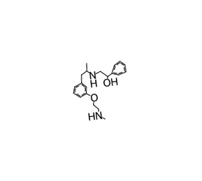 CNCCOc1cccc(CC(C)NC[C@H](O)c2ccccc2)c1